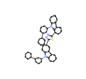 c1ccc(-c2cccc(-n3c4ccccc4c4cc(-c5nnc(-c6cccc7c8ccccc8n(-c8cccc(-c9ccccc9)c8)c67)s5)ccc43)c2)cc1